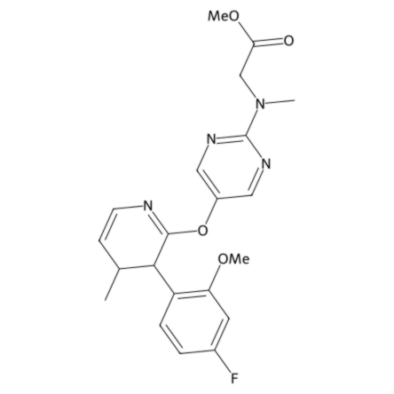 COC(=O)CN(C)c1ncc(OC2=NC=CC(C)C2c2ccc(F)cc2OC)cn1